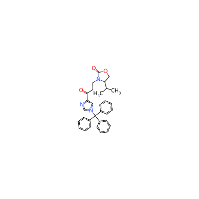 CC(C)C1COC(=O)N1CCC(=O)c1cn(C(c2ccccc2)(c2ccccc2)c2ccccc2)cn1